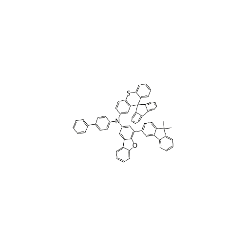 CC1(C)c2ccccc2-c2cc(-c3cc(N(c4ccc(-c5ccccc5)cc4)c4ccc5c(c4)C4(c6ccccc6S5)c5ccccc5-c5ccccc54)cc4c3oc3ccccc34)ccc21